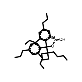 CCCCC1(C(OP(O)O)(c2ccc(CCC)cc2CCC)c2ccc(CCC)cc2CCC)CCC1